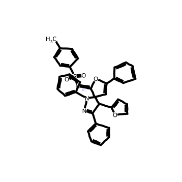 Cc1ccc(S(=O)(=O)/N=C2\OC(c3ccccc3)=CC23C(c2ccco2)C(c2ccccc2)=NN3c2ccccc2)cc1